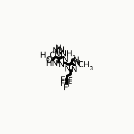 Cn1ncc2c(-c3nc(N)c4c(n3)NC(=O)C4(C)n3cnnn3)nc(CCC(F)(F)C(F)(F)F)nc21